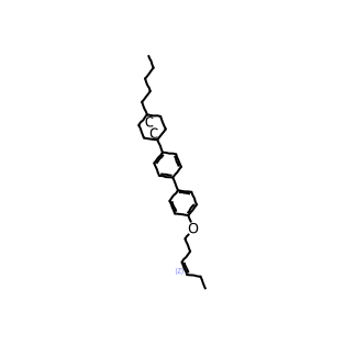 CC/C=C\CCOc1ccc(-c2ccc(C34CCC(CCCCC)(CC3)CC4)cc2)cc1